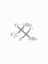 CC(C)(C)C(F)(F)C(F)(C(C)(C)C)C(F)(F)F